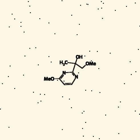 COCC(C)(O)c1nccc(OC)n1